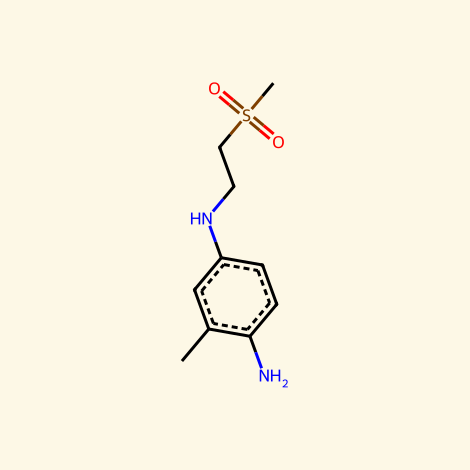 Cc1cc(NCCS(C)(=O)=O)ccc1N